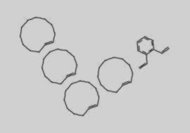 C1=C/CCCCCCCCCC/1.C1=C/CCCCCCCCCC/1.C1=C/CCCCCCCCCC/1.C1=C/CCCCCCCCCC/1.C=Cc1ccccc1C=C